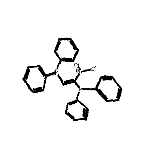 [Cl][Ru]([Cl])[C](=CP(c1ccccc1)c1ccccc1)P(c1ccccc1)c1ccccc1